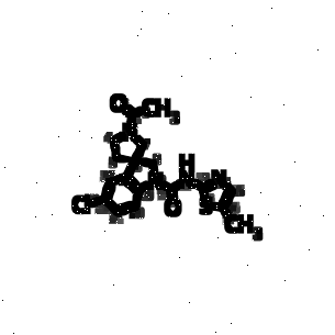 CC(=O)N1CC[C@@]2(C1)CN(C(=O)Nc1ncc(C)s1)c1ccc(Cl)cc12